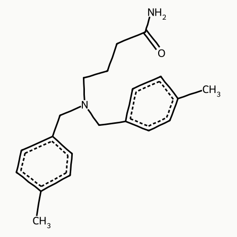 Cc1ccc(CN(CCCC(N)=O)Cc2ccc(C)cc2)cc1